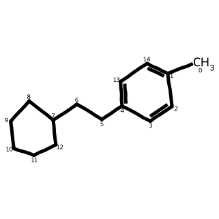 Cc1ccc(CCC2CCCCC2)cc1